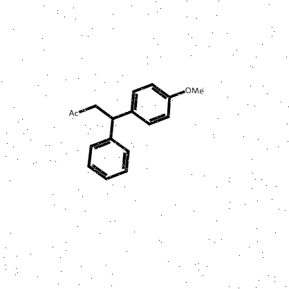 COc1ccc(C(CC(C)=O)c2ccccc2)cc1